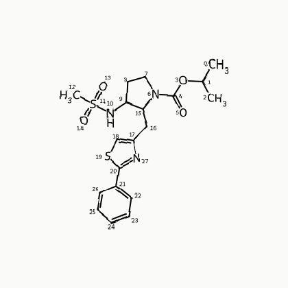 CC(C)OC(=O)N1CCC(NS(C)(=O)=O)C1Cc1csc(-c2ccccc2)n1